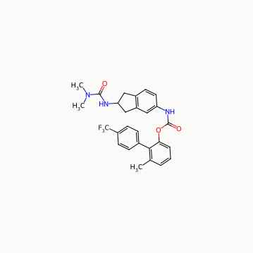 Cc1cccc(OC(=O)Nc2ccc3c(c2)CC(NC(=O)N(C)C)C3)c1-c1ccc(C(F)(F)F)cc1